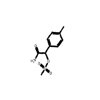 Cc1ccc(C(OS(C)(=O)=O)C(N)=O)cc1